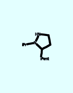 CCCC(C)C1CCNN1C(C)C